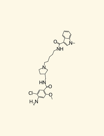 COc1cc(N)c(Cl)cc1C(=O)NCC1CCN(CCCCCNC(=O)c2cn(C)c3ccccc23)C1